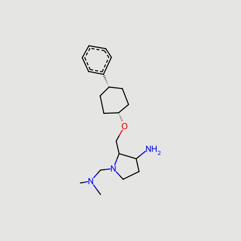 CN(C)CN1CCC(N)C1CO[C@H]1CC[C@@H](c2ccccc2)CC1